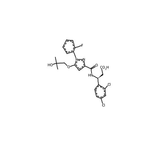 CC(C)(O)COc1cc(C(=O)N[C@@H](CC(=O)O)c2ccc(Cl)cc2Cl)nn1-c1ccccc1F